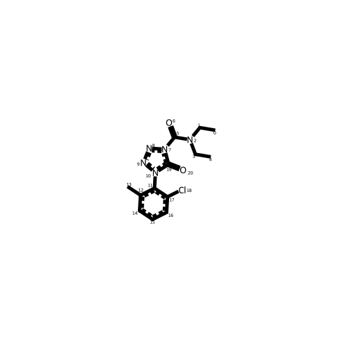 CCN(CC)C(=O)n1nnn(-c2c(C)cccc2Cl)c1=O